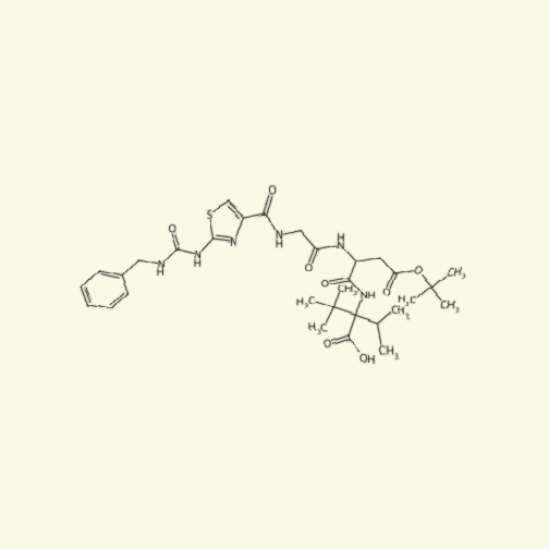 CC(C)C(NC(=O)C(CC(=O)OC(C)(C)C)NC(=O)CNC(=O)c1csc(NC(=O)NCc2ccccc2)n1)(C(=O)O)C(C)(C)C